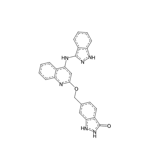 O=c1[nH][nH]c2cc(COc3cc(Nc4n[nH]c5ccccc45)c4ccccc4n3)ccc12